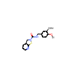 CCOc1ccc(CNC(=O)N2Cc3cccnc3S2)cc1OC